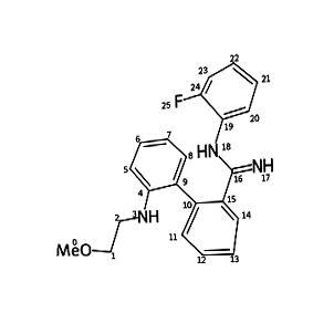 COCCNc1ccccc1-c1ccccc1C(=N)Nc1ccccc1F